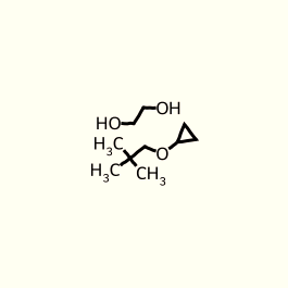 CC(C)(C)COC1CC1.OCCO